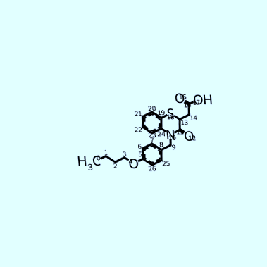 CCCCOc1ccc(CN2C(=O)C(CC(=O)O)Sc3ccccc32)cc1